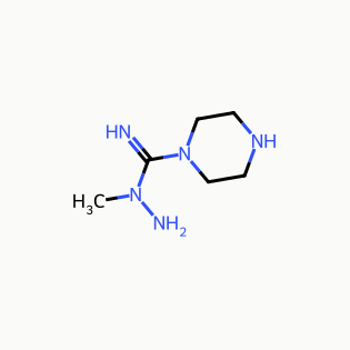 CN(N)C(=N)N1CCNCC1